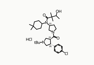 CC(O)C(C)(C)C(=O)N(C1CCC(C)(C)CC1)[C@H]1CCN(C(=O)[C@@H]2CN(C(C)(C)C)C[C@H]2c2ccc(Cl)cc2)C1.Cl